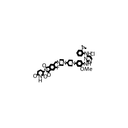 COc1cc(N2CCC(N3CCN(Cc4cc5c(cc4F)C(=O)N(C4CCC(=O)NC4=O)C5=O)CC3)CC2)ccc1Nc1ncc(Cl)c(Nc2ccccc2P(C)C)n1